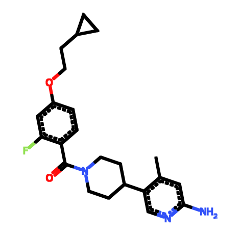 Cc1cc(N)ncc1C1CCN(C(=O)c2ccc(OCCC3CC3)cc2F)CC1